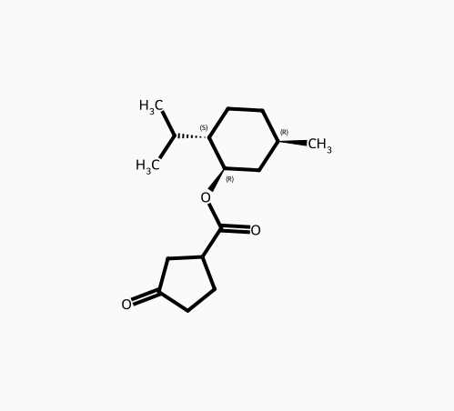 CC(C)[C@@H]1CC[C@@H](C)C[C@H]1OC(=O)C1CCC(=O)C1